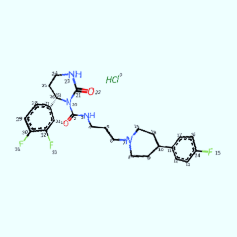 Cl.O=C(NCCCN1CCC(c2ccc(F)cc2)CC1)N1C(=O)NCC[C@H]1c1ccc(F)c(F)c1